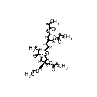 CCOC#CC(CCOCCCC(CCOC(=O)CC)COC(=O)CC)(COC(=O)CC)COC(=O)CC